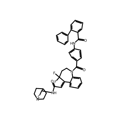 O=C(C=C1c2ccccc2N(C(=O)c2ccc(NC(=O)c3ccccc3-c3ccccc3)cc2)CCC1(F)F)NC1CN2CCC1CC2